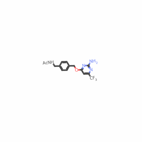 CC(=O)NCc1ccc(COc2cc(C(F)(F)F)nc(N)n2)cc1